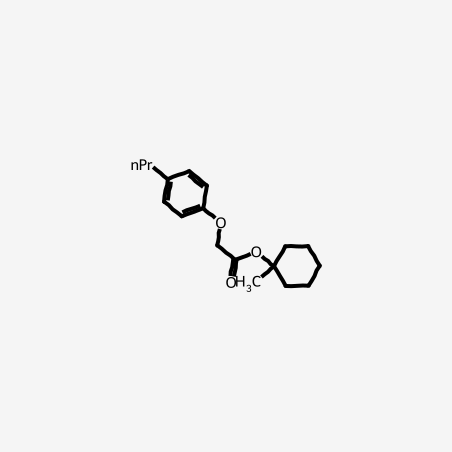 CCCc1ccc(OCC(=O)OC2(C)CCCCC2)cc1